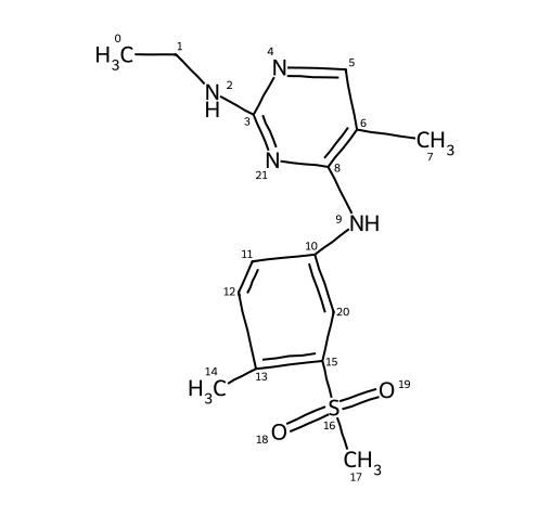 CCNc1ncc(C)c(Nc2ccc(C)c(S(C)(=O)=O)c2)n1